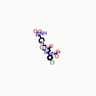 COC(=O)Nc1cc(Cl)ccc1-c1cc(=O)n(CC(=O)N2CCC(c3nc(=O)o[nH]3)CC2)c(C)n1